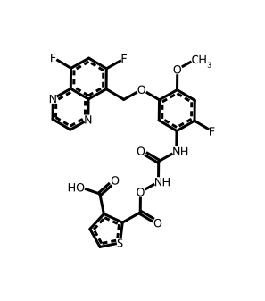 COc1cc(F)c(NC(=O)NOC(=O)c2sccc2C(=O)O)cc1OCc1c(F)cc(F)c2nccnc12